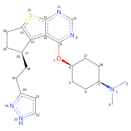 CN(C)[C@H]1CC[C@@H](Oc2ncnc3sc4c(c23)[C@@H](CCc2cc[nH]n2)CC4)CC1